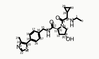 CCN[C@H](C(=O)N1C[C@H](O)C[C@H]1C(=O)NCc1ccc(-c2scnc2C)cc1)C1CC1